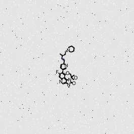 CC(/C=C/c1ccc(-c2c(F)cc3ncc4c5c3c2OCC2(COC2)n5c(=O)n4C)cn1)CCN1CCCCC1